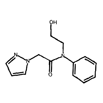 O=C(Cn1cccn1)N(CCO)c1ccccc1